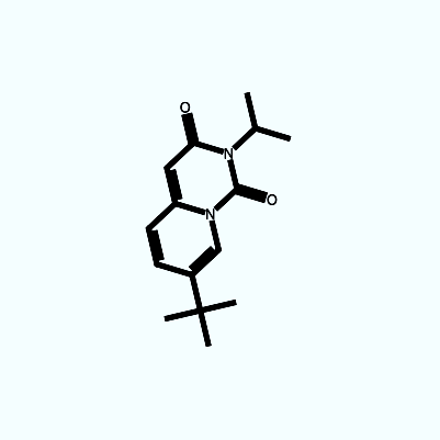 CC(C)n1c(=O)cc2ccc(C(C)(C)C)cn2c1=O